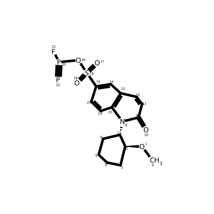 CO[C@H]1CCCC[C@@H]1n1c(=O)ccc2cc(S(=O)(=O)OP(F)#P)ccc21